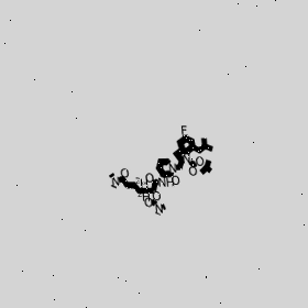 [2H]C([2H])(C/C=C/C(=O)N(C)C)C(OC(=O)N(C)C)C(=O)Nc1cccn(Cc2cc3cc(F)cc(CC(C)C)c3n2C(=O)OC(C)(C)C)c1=O